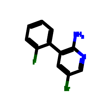 Nc1ncc(Br)cc1-c1ccccc1F